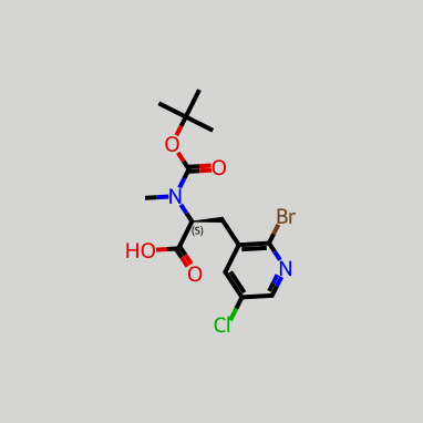 CN(C(=O)OC(C)(C)C)[C@@H](Cc1cc(Cl)cnc1Br)C(=O)O